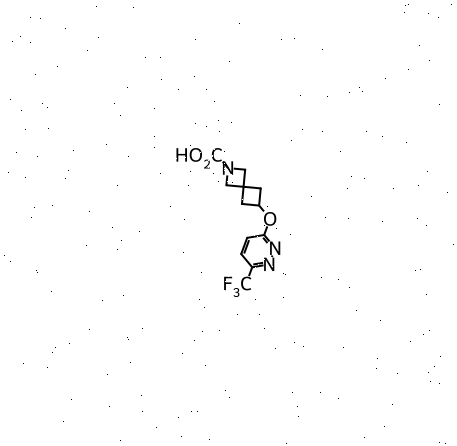 O=C(O)N1CC2(CC(Oc3ccc(C(F)(F)F)nn3)C2)C1